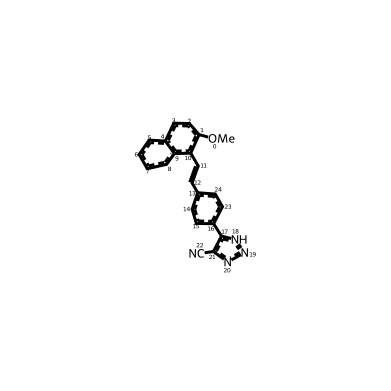 COc1ccc2ccccc2c1C=Cc1ccc(-c2[nH]nnc2C#N)cc1